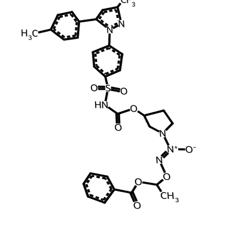 Cc1ccc(-c2cc(C(F)(F)F)nn2-c2ccc(S(=O)(=O)NC(=O)OC3CCN([N+]([O-])=NOC(C)OC(=O)c4ccccc4)C3)cc2)cc1